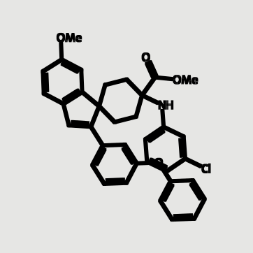 COC(=O)C1(Nc2cccc(Cl)c2)CCC2(CC1)C(c1cccc(Oc3ccccc3)c1)=Cc1ccc(OC)cc12